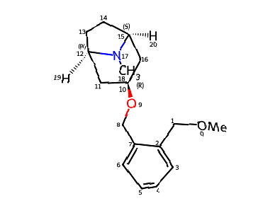 COCc1ccccc1CO[C@H]1C[C@H]2CC[C@@H](C1)N2C